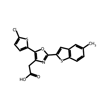 Cc1ccc2sc(-c3nc(CC(=O)O)c(-c4ccc(Cl)s4)o3)cc2c1